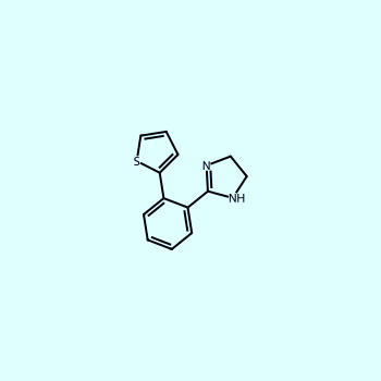 c1csc(-c2ccccc2C2=NCCN2)c1